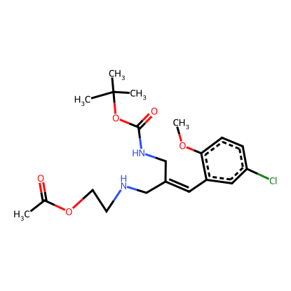 COc1ccc(Cl)cc1/C=C(/CNCCOC(C)=O)CNC(=O)OC(C)(C)C